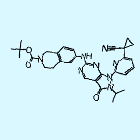 CC(C)n1c(=O)c2cnc(Nc3ccc4c(c3)CCN(C(=O)OC(C)(C)C)C4)nc2n1-c1cccc(C2(C#N)CC2)n1